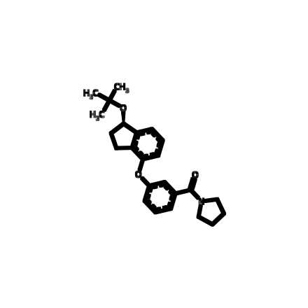 CC(C)(C)O[C@@H]1CCc2c(Oc3cccc(C(=O)N4CCCC4)c3)cccc21